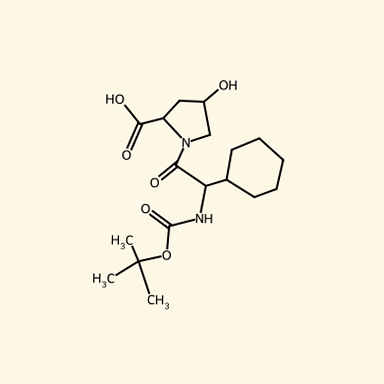 CC(C)(C)OC(=O)NC(C(=O)N1CC(O)CC1C(=O)O)C1CCCCC1